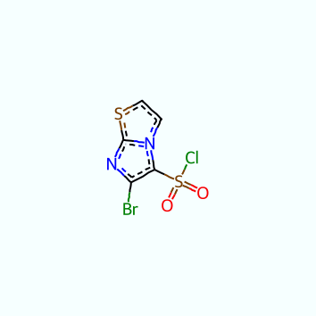 O=S(=O)(Cl)c1c(Br)nc2sccn12